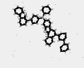 c1ccc(-c2cccc(-c3cc4c5ccc(N(c6ccccc6)c6ccc(-c7cccc8c7oc7ccccc78)cc6)cc5oc4c4ccccc34)c2)cc1